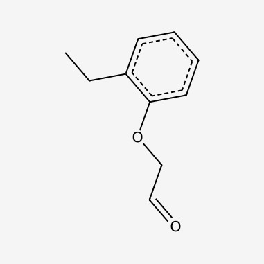 CCc1ccccc1OCC=O